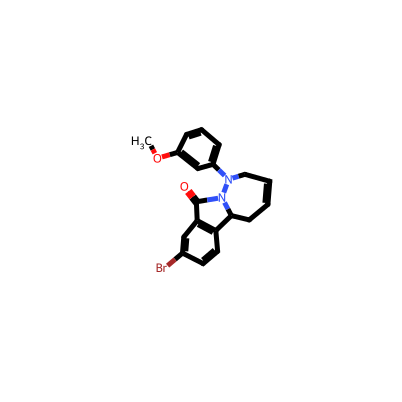 COc1cccc(N2CC=CCC3c4ccc(Br)cc4C(=O)N32)c1